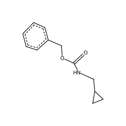 O=C(NCC1CC1)OCc1ccccc1